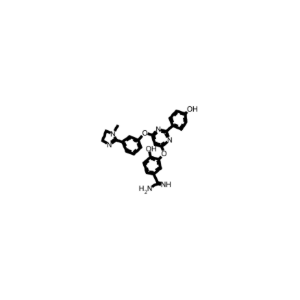 CN1CCN=C1c1cccc(Oc2cc(Oc3cc(C(=N)N)ccc3O)nc(-c3ccc(O)cc3)n2)c1